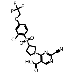 N#Cc1ncc(C(=O)O)c(N2CCC(S(=O)(=O)c3ccc(OCC(F)(F)F)cc3Cl)C2)n1